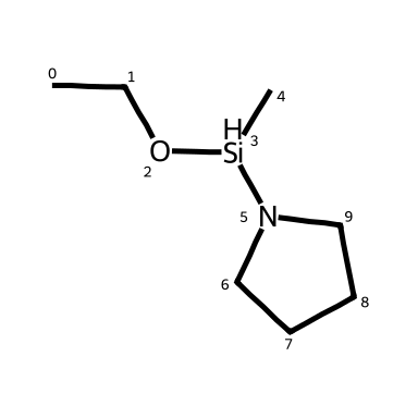 CCO[SiH](C)N1CCCC1